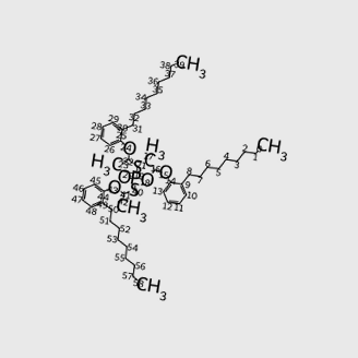 CCCCCCCCCc1ccccc1OC(C)OP(=O)(SC(C)Oc1ccccc1CCCCCCCCC)SC(C)Oc1ccccc1CCCCCCCCC